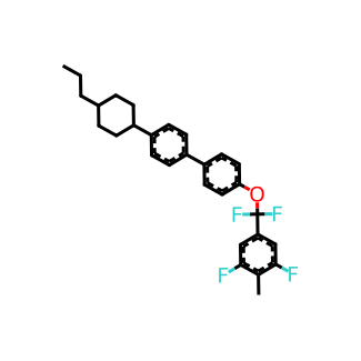 CCCC1CCC(c2ccc(-c3ccc(OC(F)(F)c4cc(F)c(C)c(F)c4)cc3)cc2)CC1